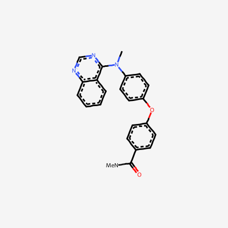 CNC(=O)c1ccc(Oc2ccc(N(C)c3ncnc4ccccc34)cc2)cc1